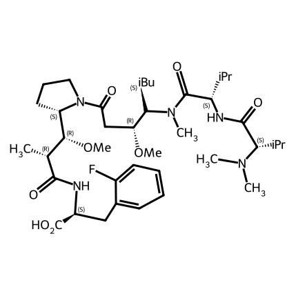 CC[C@H](C)C([C@@H](CC(=O)N1CCC[C@H]1[C@H](OC)[C@@H](C)C(=O)N[C@@H](Cc1ccccc1F)C(=O)O)OC)N(C)C(=O)[C@@H](NC(=O)[C@H](C(C)C)N(C)C)C(C)C